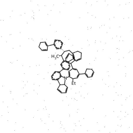 CCC1C=C(C2=CC=CCC2)C=C(C2C=CC=CC2)C=C1N1c2c(-c3ccc4c(c3)[C@@H](C)[C@H](c3cccc(C5=CCCC=C5)c3)CC3=C4C=CCC3)cccc2C2C=CC=CC21